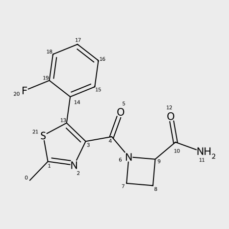 Cc1nc(C(=O)N2CCC2C(N)=O)c(-c2ccccc2F)s1